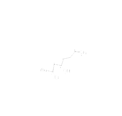 CCC(C)C(CC)CC(O)CCCO